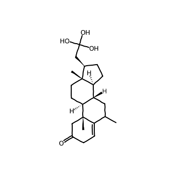 CC1C[C@H]2[C@@H]3CC[C@H](CC(O)(O)O)[C@@]3(C)CC[C@@H]2[C@@]2(C)CC(=O)CC=C12